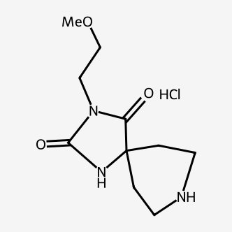 COCCN1C(=O)NC2(CCNCC2)C1=O.Cl